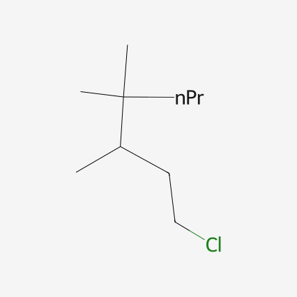 CCCC(C)(C)C(C)CCCl